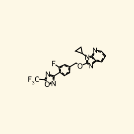 Fc1cc(COc2nc3cccnc3n2C2CC2)ccc1-c1noc(C(F)(F)F)n1